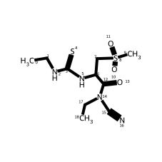 CCNC(=S)NC(CS(C)(=O)=O)C(=O)N(C#N)CC